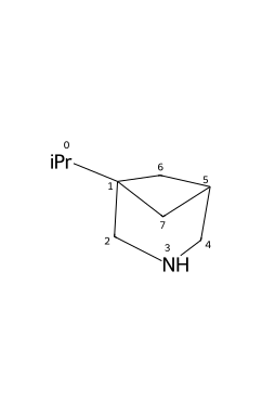 CC(C)C12CNCC(C1)C2